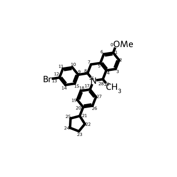 COc1ccc2c(c1)CC(c1ccc(Br)cc1)N(c1ccc(C3CCCC3)cc1)C2C